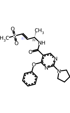 C[C@@H](/C=C/S(C)(=O)=O)NC(=O)c1cnc(N2CCCC2)nc1Oc1ccccc1